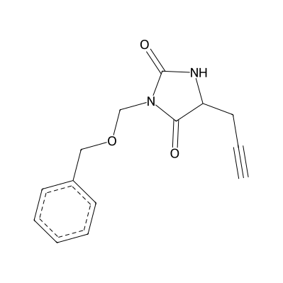 C#CCC1NC(=O)N(COCc2ccccc2)C1=O